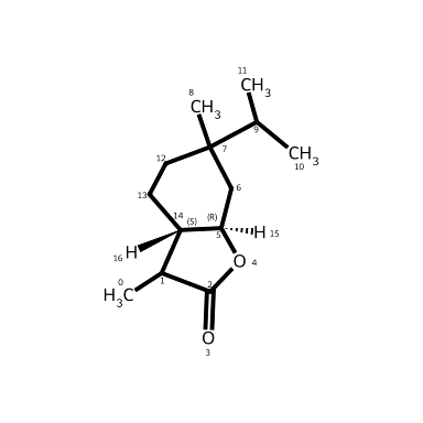 CC1C(=O)O[C@@H]2CC(C)(C(C)C)CC[C@@H]12